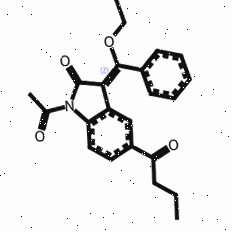 CCCC(=O)c1ccc2c(c1)/C(=C(/OCC)c1ccccc1)C(=O)N2C(C)=O